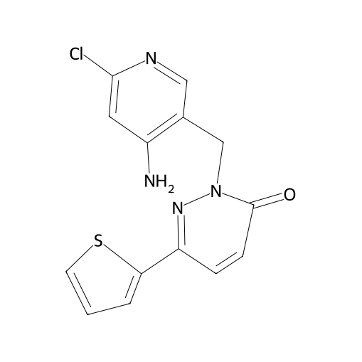 Nc1cc(Cl)ncc1Cn1nc(-c2cccs2)ccc1=O